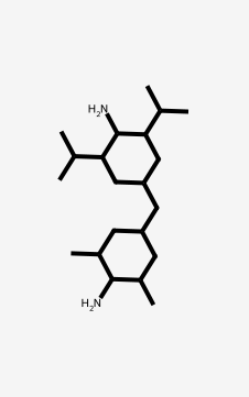 CC(C)C1CC(CC2CC(C)C(N)C(C)C2)CC(C(C)C)C1N